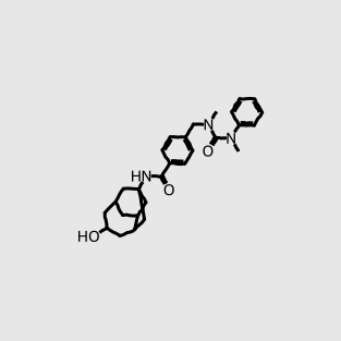 CN(Cc1ccc(C(=O)NC23CC4CC(O)CC(C2)C(C4)C3)cc1)C(=O)N(C)c1ccccc1